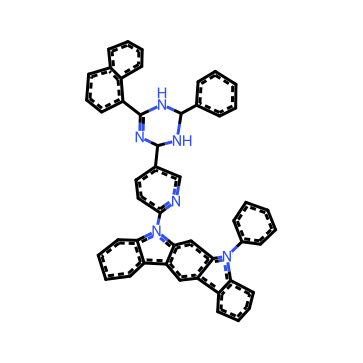 c1ccc(C2NC(c3cccc4ccccc34)=NC(c3ccc(-n4c5ccccc5c5cc6c7ccccc7n(-c7ccccc7)c6cc54)nc3)N2)cc1